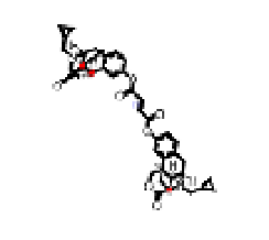 O=C(/C=C/C(=O)Oc1ccc2c(c1)[C@]13CCN(CC4CC4)[C@H](C2)[C@@H]1OC(=O)OC3)Oc1ccc2c(c1)[C@]13CCN(CC4CC4)[C@H](C2)[C@@H]1OC(=O)OC3